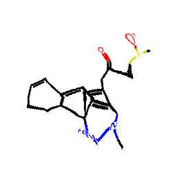 CN1NC23C=C(C(=O)C[S+](C)[O-])C1=C2C=C1C=CCCC13